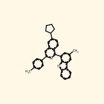 Cc1ccc(-c2cc3cc(C4CCCC4)ccc3c(-c3cc(C)cc4c3oc3ccccc34)n2)cc1